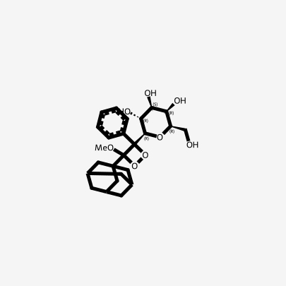 COC1(C23CC4CC(CC(C4)C2)C3)OOC1(c1ccccc1)[C@@H]1O[C@H](CO)[C@H](O)[C@H](O)[C@H]1O